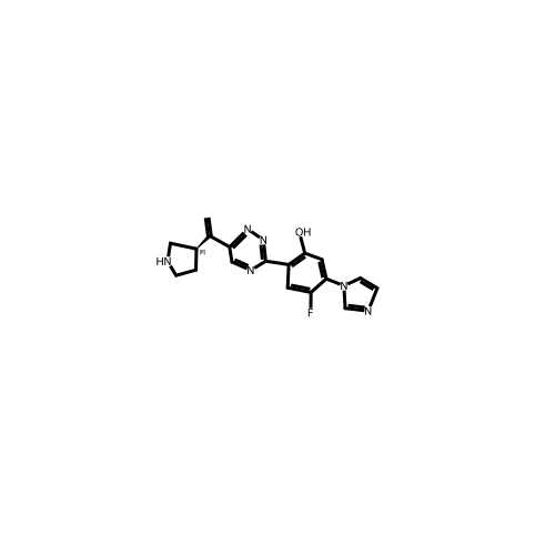 C=C(c1cnc(-c2cc(F)c(-n3ccnc3)cc2O)nn1)[C@H]1CCNC1